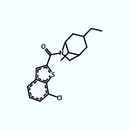 CCC1CC2CN(C(=O)c3cc4cccc(Cl)c4s3)C(C1)C2C